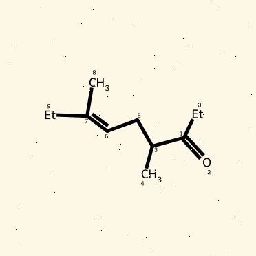 CCC(=O)C(C)CC=C(C)CC